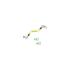 CSSC.Cl.Cl